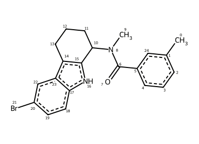 Cc1cccc(C(=O)N(C)C2CCCc3c2[nH]c2ccc(Br)cc32)c1